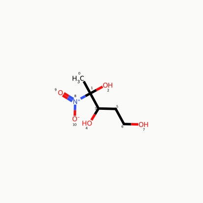 CC(O)(C(O)CCO)[N+](=O)[O-]